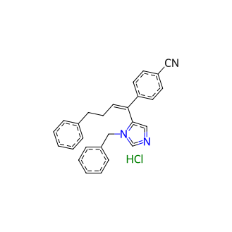 Cl.N#Cc1ccc(C(=CCCc2ccccc2)c2cncn2Cc2ccccc2)cc1